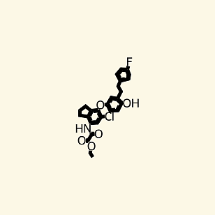 CCOC(=O)C(=O)Nc1cc(Cl)c(Oc2ccc(O)c(CCc3ccc(F)cc3)c2)c2c1CCC2